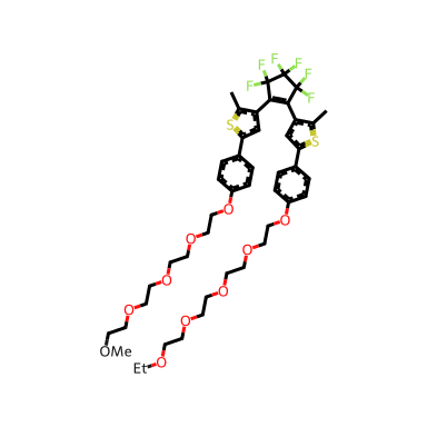 CCOCCOCCOCCOCCOc1ccc(-c2cc(C3=C(c4cc(-c5ccc(OCCOCCOCCOCCOC)cc5)sc4C)C(F)(F)C(F)(F)C3(F)F)c(C)s2)cc1